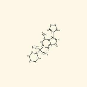 CC(C)(c1nc(O)c2c(-c3cccs3)coc2n1)C1CCCCC1